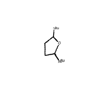 CCCCC1CCC(CCCC)O1